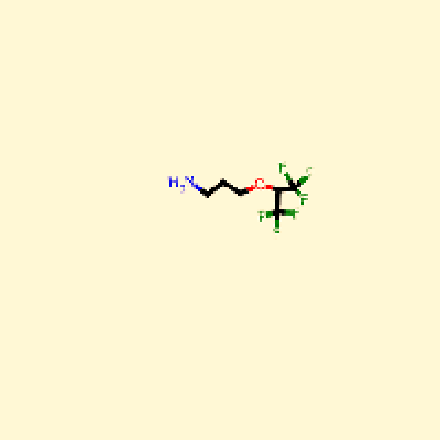 NCCCOC(C(F)(F)F)C(F)(F)F